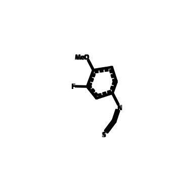 COc1ccc(N=C=S)cc1F